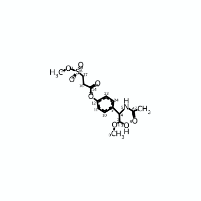 COC(O)C(NC(C)=O)c1ccc(OC(=O)CCS(=O)(=O)OC)cc1